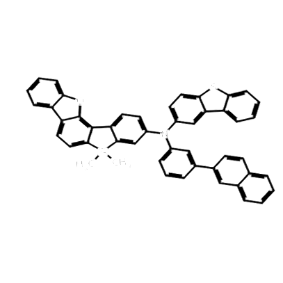 C[Si]1(C)c2cc(N(c3cccc(-c4ccc5ccccc5c4)c3)c3ccc4sc5ccccc5c4c3)ccc2-c2c1ccc1c2oc2ccccc21